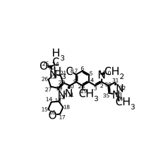 C=N/C(=C\c1ccc(C)c(-c2nn(C3CCOCC3)c3c2CN(C(C)=O)CC3)c1C)c1cnn(C)c1